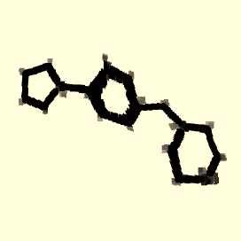 c1cc(N2CCCC2)ncc1CN1CCNCC1